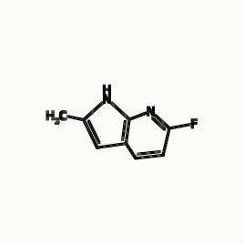 Cc1cc2ccc(F)nc2[nH]1